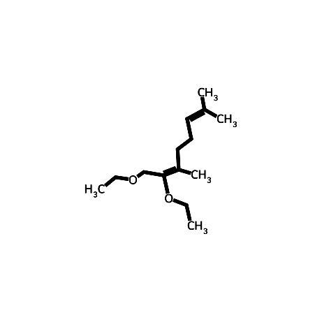 CCOCC(OCC)=C(C)CCC=C(C)C